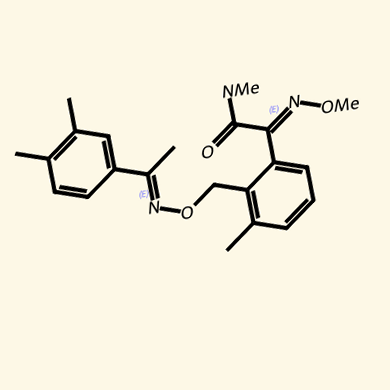 CNC(=O)/C(=N/OC)c1cccc(C)c1CO/N=C(\C)c1ccc(C)c(C)c1